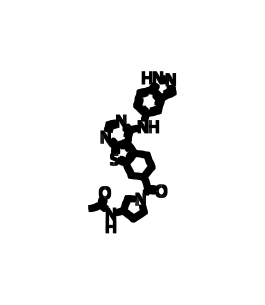 CC(=O)NC1CCN(C(=O)C2CCc3c(sc4ncnc(Nc5ccc6[nH]ncc6c5)c34)C2)C1